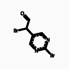 O=CC(Br)c1cnc(Br)nc1